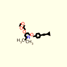 CC(C)c1cc(OCC2COCCO2)cc(OCc2ccc(C#CC3CC3)cc2)n1